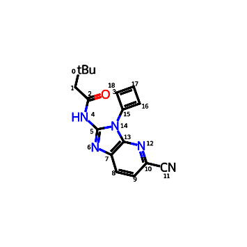 CC(C)(C)CC(=O)Nc1nc2ccc(C#N)nc2n1C1=CC=C1